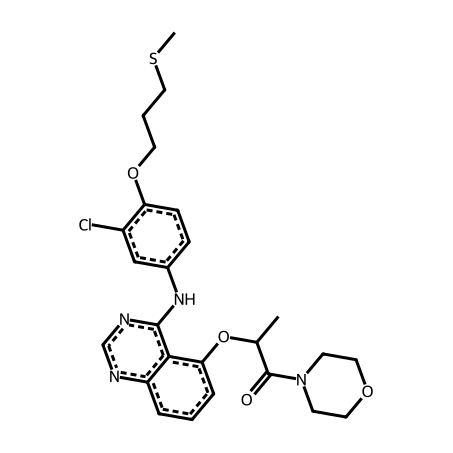 CSCCCOc1ccc(Nc2ncnc3cccc(OC(C)C(=O)N4CCOCC4)c23)cc1Cl